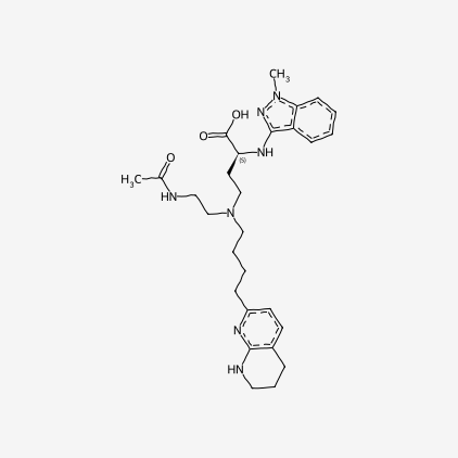 CC(=O)NCCN(CCCCc1ccc2c(n1)NCCC2)CC[C@H](Nc1nn(C)c2ccccc12)C(=O)O